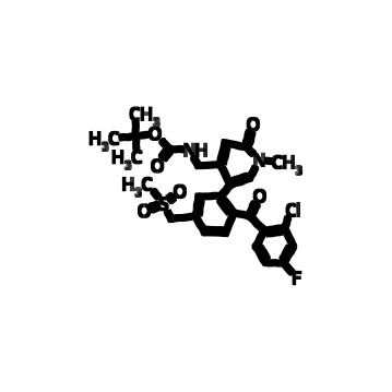 Cn1cc(-c2cc(CS(C)(=O)=O)ccc2C(=O)c2ccc(F)cc2Cl)c(CNC(=O)OC(C)(C)C)cc1=O